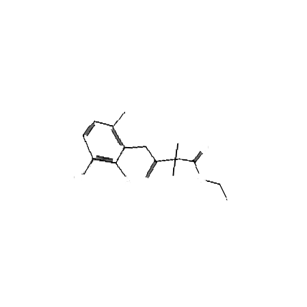 C=C(Cc1c(C)ccc(Cl)c1Br)C(C)(C)C(=O)OCC